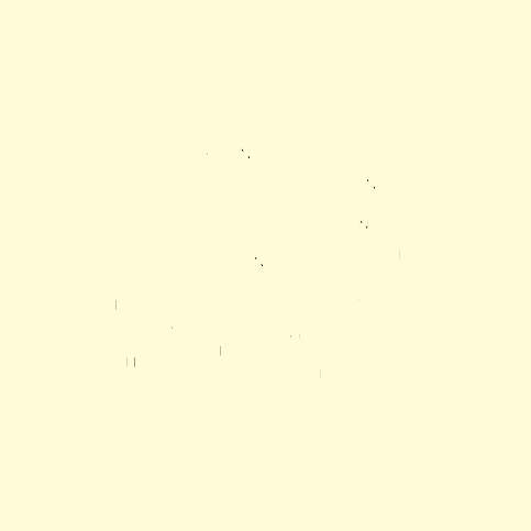 COC(=O)C1c2c(cnn2C)/C(=N/S)CN1C(=O)OC(C)(C)C